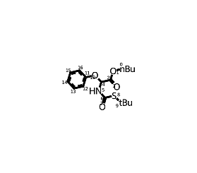 CCCCOC(=O)C(NC(=O)SC(C)(C)C)Oc1ccccc1